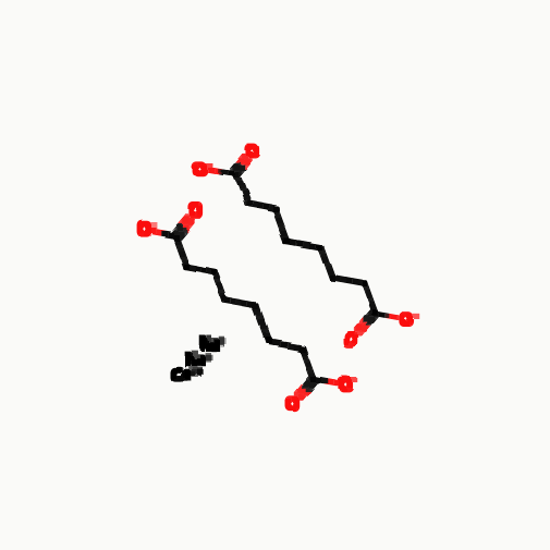 O=C([O-])CCCCCCC(=O)[O-].O=C([O-])CCCCCCC(=O)[O-].[Ca+2].[Na+].[Na+]